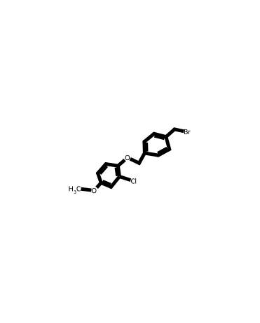 COc1ccc(OCc2ccc(CBr)cc2)c(Cl)c1